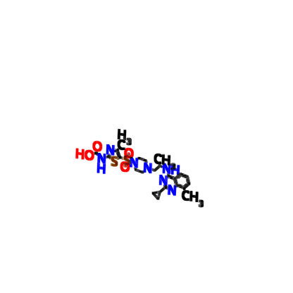 Cc1nc(NC(=O)O)sc1S(=O)(=O)N1CCN(CC(C)Nc2nc(C3CC3)nc3c(C)cccc23)CC1